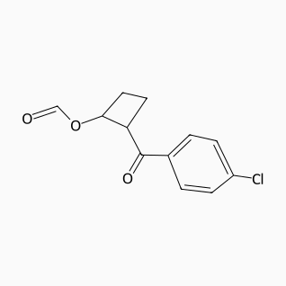 O=COC1CCC1C(=O)c1ccc(Cl)cc1